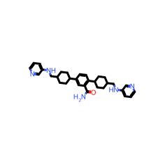 NC(=O)c1cc(C2CCC(CNc3cccnc3)CC2)ccc1C1CCC(CNc2cccnc2)CC1